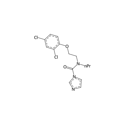 CCCN(CCOc1ccc(Cl)cc1Cl)C(=O)n1ccnc1